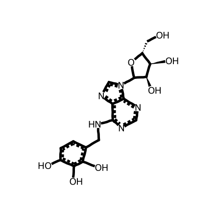 OC[C@H]1OC(n2cnc3c(NCc4ccc(O)c(O)c4O)ncnc32)[C@H](O)[C@@H]1O